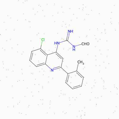 Cc1ccccc1-c1cc(NC(=N)NC=O)c2c(Cl)cccc2n1